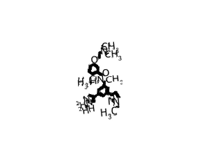 [2H]C([2H])([2H])n1cc(-c2cc(-c3ccn(CC)n3)cc([C@@H](C)NC(=O)c3cc(OCCN(C)C)ccc3C)c2)cn1